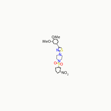 COc1ccc(-c2csc(N3CCN(S(=O)(=O)c4cccc([N+](=O)[O-])c4)CC3)n2)cc1OC